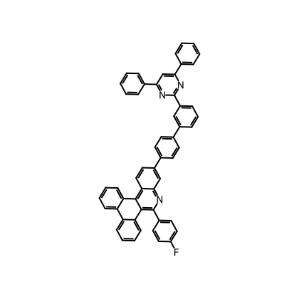 Fc1ccc(-c2nc3cc(-c4ccc(-c5cccc(-c6nc(-c7ccccc7)cc(-c7ccccc7)n6)c5)cc4)ccc3c3c4ccccc4c4ccccc4c23)cc1